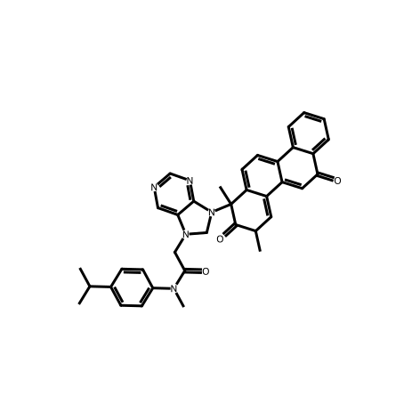 CC1C=c2c(ccc3c2=CC(=O)c2ccccc2-3)C(C)(N2CN(CC(=O)N(C)c3ccc(C(C)C)cc3)c3cncnc32)C1=O